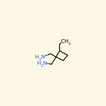 CCC1CCC1(CN)CN